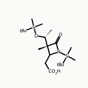 C[C@@H](O[Si](C)(C)C(C)(C)C)[C@]1(C)C(=O)N([Si](C)(C)C(C)(C)C)C1CC(=O)O